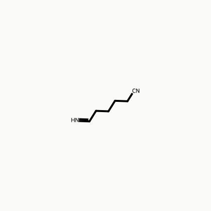 N#CCCCCC=N